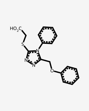 O=C(O)CSc1nnc(COc2ccccc2)n1-c1ccccc1